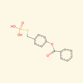 O=C(Oc1ccc(CSP(=O)(O)O)cc1)c1ccccc1